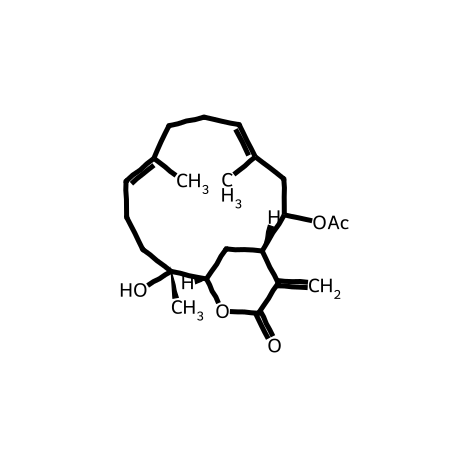 C=C1C(=O)O[C@H]2C[C@@H]1C(OC(C)=O)C/C(C)=C/CC/C(C)=C/CC[C@@]2(C)O